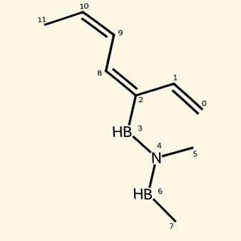 C=C/C(BN(C)BC)=C\C=C/C